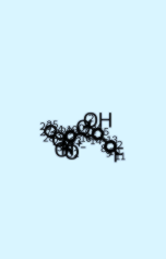 O=C(O)c1ccc(-c2ccc(F)cc2)cc1C=Cc1ccc(OC2CCCCC2)c([N+](=O)[O-])c1